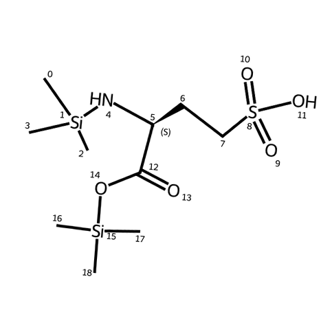 C[Si](C)(C)N[C@@H](CCS(=O)(=O)O)C(=O)O[Si](C)(C)C